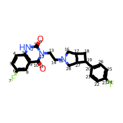 O=c1[nH]c2ccc(F)cc2c(=O)n1CCN1CC2CC(c3ccc(F)cc3)C2C1